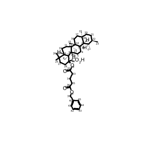 C[C@@H]1[C@H]2[C@H]3CC[C@@H]4[C@]5(C)[C@@H](CC[C@@]4(C)[C@]3(C)CC[C@@]2(C)CC[C@H]1C)C(C)(C)CCC5(OC(=O)CCCC(=O)OCc1ccccc1)C(=O)O